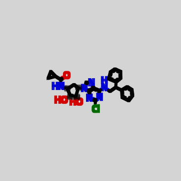 O=C(N[C@H]1C[C@@H](n2cnc3c(NCC(c4ccccc4)c4ccccc4)nc(Cl)nc32)[C@H](O)[C@@H]1O)C1CC1